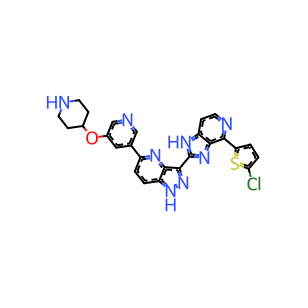 Clc1ccc(-c2nccc3[nH]c(-c4n[nH]c5ccc(-c6cncc(OC7CCNCC7)c6)nc45)nc23)s1